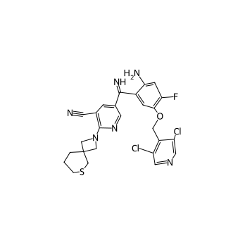 N#Cc1cc(C(=N)c2cc(OCc3c(Cl)cncc3Cl)c(F)cc2N)cnc1N1CC2(CCCSC2)C1